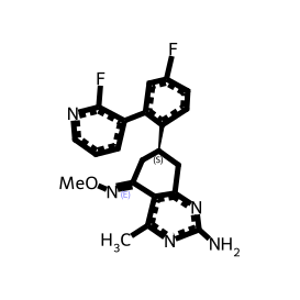 CO/N=C1\C[C@@H](c2ccc(F)cc2-c2cccnc2F)Cc2nc(N)nc(C)c21